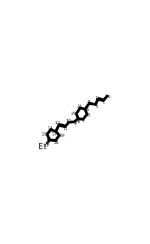 CC=CCCC1CCC(CCC=CC2CCC(CC)CC2)CC1